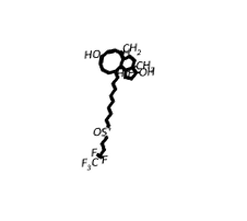 C=C1/C=C\C(O)=C/CCC(CCCCCCCCC[S+]([O-])CCCC(F)(F)C(F)(F)F)[C@@H]2[C@@H]1CC[C@]1(C)[C@@H](O)CC[C@@H]21